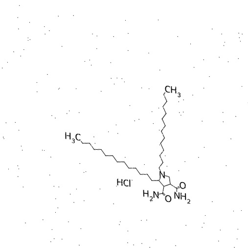 CCCCCCCCCCCCCCC1C(C(N)=O)C(C(N)=O)CN1CCCCCCCCCCCCCC.Cl